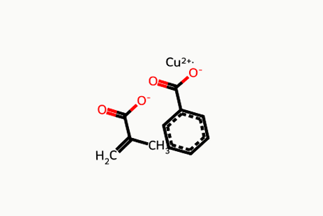 C=C(C)C(=O)[O-].O=C([O-])c1ccccc1.[Cu+2]